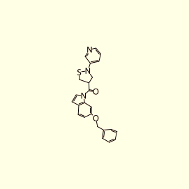 O=C(C1CSN(c2cccnc2)C1)n1ccc2ccc(OCc3ccccc3)cc21